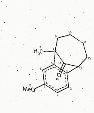 COc1ccc2c(c1)C1(C)CCCCC2C1=O